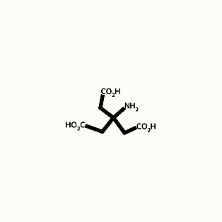 NC(CC(=O)O)(CC(=O)O)CC(=O)O